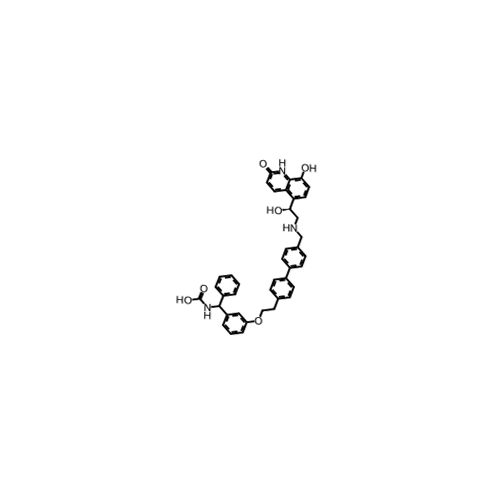 O=C(O)NC(c1ccccc1)c1cccc(OCCc2ccc(-c3ccc(CNC[C@@H](O)c4ccc(O)c5[nH]c(=O)ccc45)cc3)cc2)c1